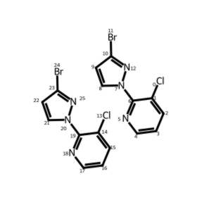 Clc1cccnc1-n1ccc(Br)n1.Clc1cccnc1-n1ccc(Br)n1